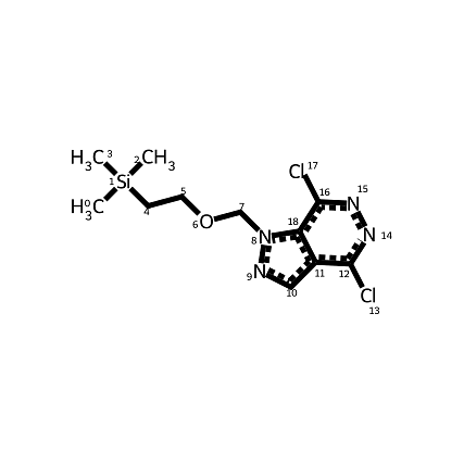 C[Si](C)(C)CCOCn1ncc2c(Cl)nnc(Cl)c21